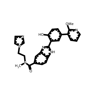 COc1ncccc1-c1ccc(O)c(-c2nc3cc(C(=O)N(C)CCn4ccnc4)ccc3[nH]2)c1